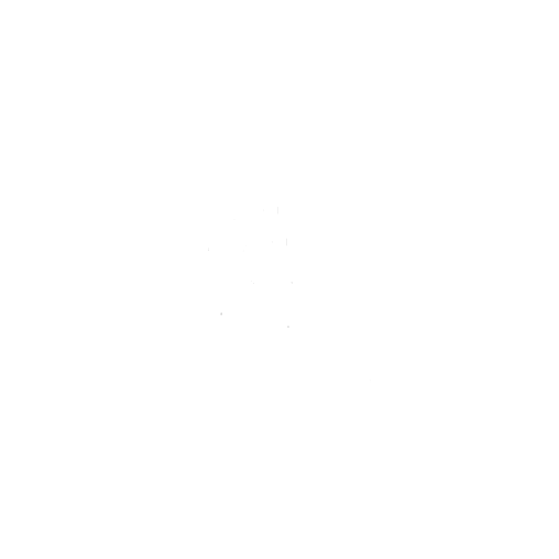 CC(C)(C)C(C)(C)C(=O)OCCCBr